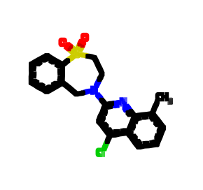 Cc1cccc2c(Cl)cc(N3CCS(=O)(=O)c4ccccc4C3)nc12